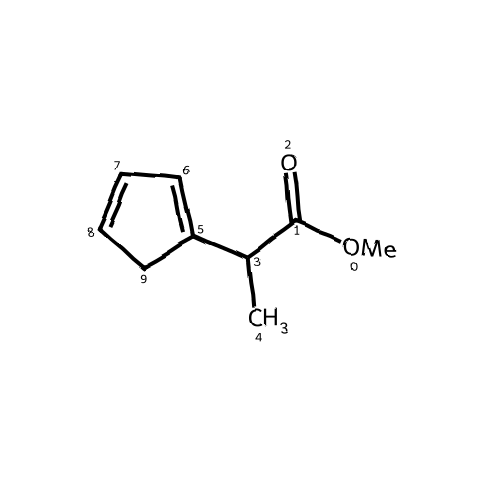 COC(=O)C(C)C1=CC=CC1